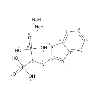 O=P(O)(O)C(Nc1nc2ccccc2s1)P(=O)(O)O.[NaH].[NaH]